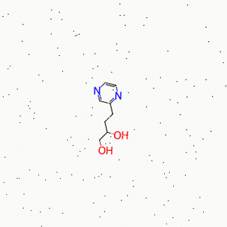 OCC(O)CCc1cnccn1